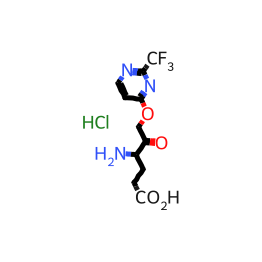 Cl.NC(CCC(=O)O)C(=O)COc1ccnc(C(F)(F)F)n1